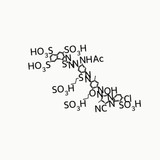 CC(=O)Nc1cc(N=Nc2cc(OCCCS(=O)(=O)O)c(N=Nc3c(C)c(C#N)c4nc5c(S(=O)(=O)O)c(Cl)ccc5n4c3O)cc2C)c(SCCCS(=O)(=O)O)cc1N=Nc1nc2c(S(=O)(=O)O)cc3c(S(=O)(=O)O)cc(S(=O)(=O)O)cc3c2s1